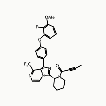 CC#CC(=O)N1CCCC[C@H]1c1nc(-c2ccc(Oc3cccc(OC)c3F)cc2)c2c(C(F)(F)F)nccn12